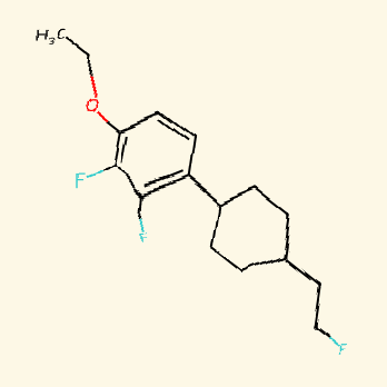 CCOc1ccc(C2CCC(CCF)CC2)c(F)c1F